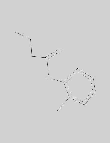 CCCC(=O)Oc1ccccc1C